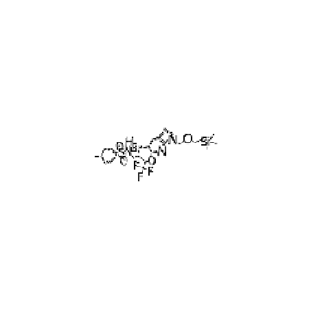 Cc1ccc(S(=O)(=O)NCCC(Oc2nc3c(ccn3COCC[Si](C)(C)C)cc2Br)C(F)(F)F)cc1